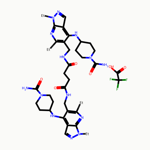 CCc1nc2c(cnn2CC)c(NC2CCN(C(N)=O)CC2)c1CNC(=O)CCC(=O)NCc1c(CC)nc2c(cnn2CC)c1NC1CCN(C(N)=O)CC1.O=C(O)C(F)(F)F